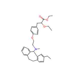 CCOC(=O)C(Cc1ccc(OCCN(C)C2c3ccccc3CCc3ccc(CC)cc32)cc1)OCC